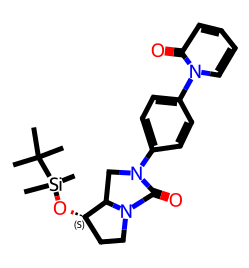 CC(C)(C)[Si](C)(C)O[C@H]1CCN2C(=O)N(c3ccc(-n4ccccc4=O)cc3)CC12